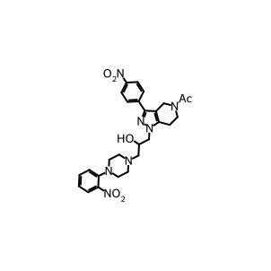 CC(=O)N1CCc2c(c(-c3ccc([N+](=O)[O-])cc3)nn2CC(O)CN2CCN(c3ccccc3[N+](=O)[O-])CC2)C1